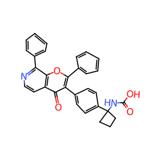 O=C(O)NC1(c2ccc(-c3c(-c4ccccc4)oc4c(-c5ccccc5)nccc4c3=O)cc2)CCC1